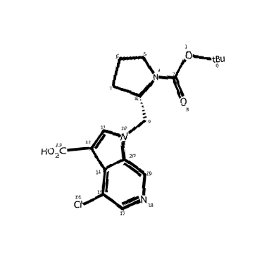 CC(C)(C)OC(=O)N1CCC[C@H]1Cn1cc(C(=O)O)c2c(Cl)cncc21